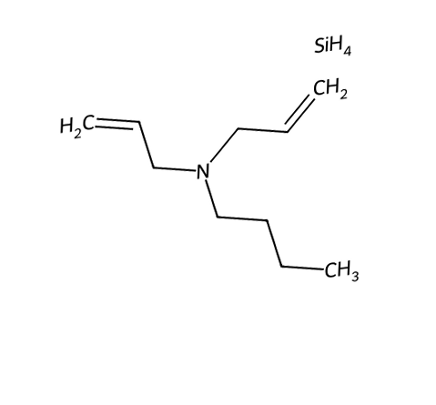 C=CCN(CC=C)CCCC.[SiH4]